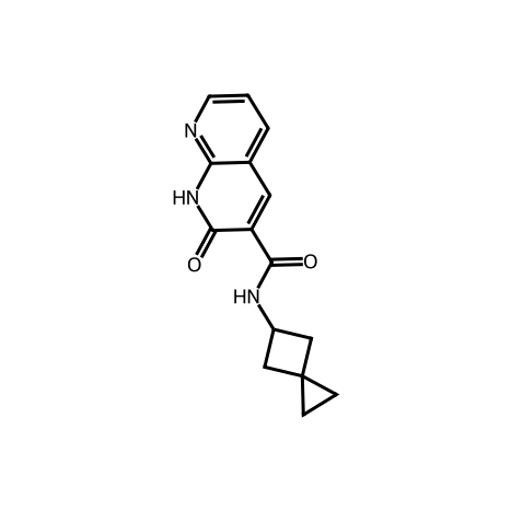 O=C(NC1CC2(CC2)C1)c1cc2cccnc2[nH]c1=O